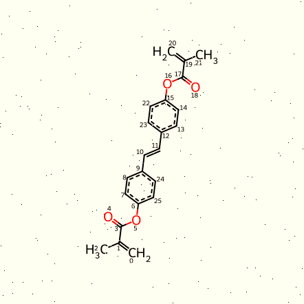 C=C(C)C(=O)Oc1ccc(C=Cc2ccc(OC(=O)C(=C)C)cc2)cc1